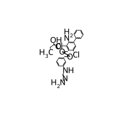 CCC(=O)O.NN=CNc1cccc(S(=O)(=O)c2c(Cl)cc(-c3ccccc3)c(N)c2Cl)c1